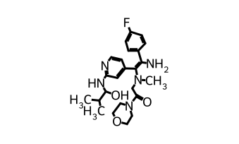 CC(C)C(O)Nc1cc(/C(=C(/N)c2ccc(F)cc2)N(C)CC(=O)N2CCOCC2)ccn1